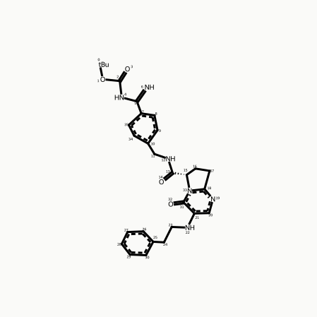 CC(C)(C)OC(=O)NC(=N)c1ccc(CNC(=O)[C@@H]2CCc3ncc(NCCc4ccccc4)c(=O)n32)cc1